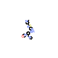 Cc1cc(-c2nc3cc(Nc4ccc(N5CCOCC5)c(CN5CCCC5)c4)ncc3s2)ccn1